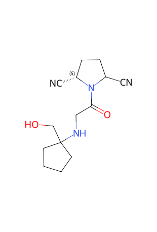 N#CC1CC[C@@H](C#N)N1C(=O)CNC1(CO)CCCC1